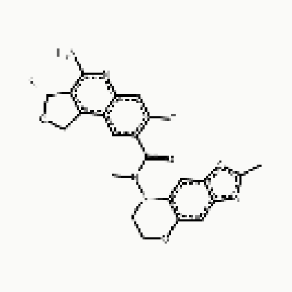 Cc1nc2cc3c(cc2s1)N(N(C)C(=O)c1cc2c4c(c(N)nc2cc1F)[C@@H](C)OC4)CCO3